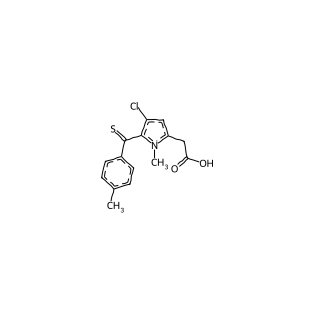 Cc1ccc(C(=S)c2c(Cl)cc(CC(=O)O)n2C)cc1